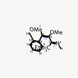 CCOC(=O)C(=N\C)/C(OC)=C(/OC)c1ccccc1C